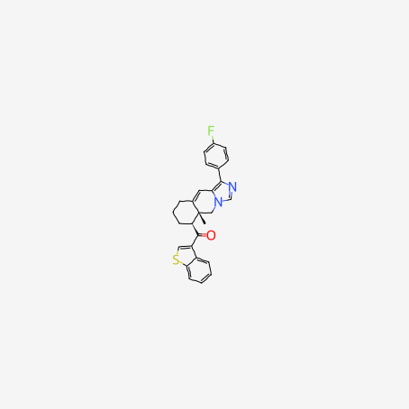 C[C@]12Cn3cnc(-c4ccc(F)cc4)c3C=C1CCC[C@@H]2C(=O)c1csc2ccccc12